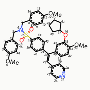 COc1ccc(CN(Cc2ccc(OC)cc2)S(=O)(=O)c2ccc(C(=Cc3ccncc3)c3ccc(OC)c(OC4CCCC4)c3)cc2)cc1